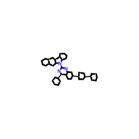 c1ccc(-c2ccc(-c3ccc4c(-c5ccccc5)nc(-n5c6ccccc6c6cc7ccccc7cc65)nc4c3)cc2)cc1